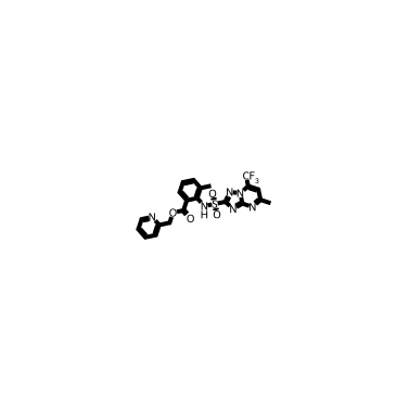 Cc1cc(C(F)(F)F)n2nc(S(=O)(=O)Nc3c(C)cccc3C(=O)OCc3ccccn3)nc2n1